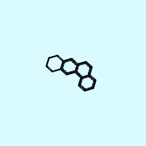 c1ccc2c(c1)ccc1cc3c(cc12)CCCC3